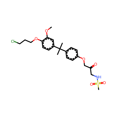 COc1cc(C(C)(C)c2ccc(OCC(=O)CNS(C)(=O)=O)cc2)ccc1OCCCCl